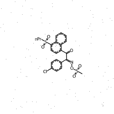 CCCS(=O)(=O)c1ccc(C(=O)/C(=N/OS(C)(=O)=O)c2ccc(Cl)cc2)c2ccccc12